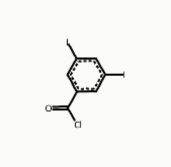 O=C(Cl)c1cc(I)cc(I)c1